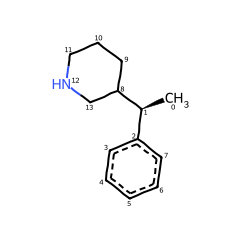 C[C@@H](c1ccccc1)C1CCCNC1